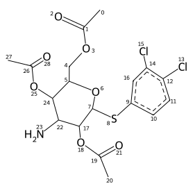 CC(=O)OCC1OC(Sc2ccc(Cl)c(Cl)c2)C(OC(C)=O)C(N)C1OC(C)=O